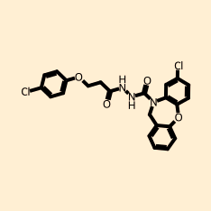 O=C(CCOc1ccc(Cl)cc1)NNC(=O)N1Cc2ccccc2Oc2ccc(Cl)cc21